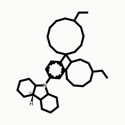 CCC1CCCCCCC(c2ccc(N3C4CCCCC4[C@@H]4CCCCC43)cc2)(C2CCCCCC(CC)CC2)CCCC1